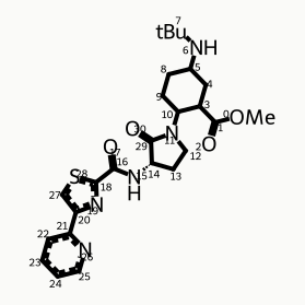 COC(=O)C1CC(NC(C)(C)C)CCC1N1CC[C@H](NC(=O)c2nc(-c3ccccn3)cs2)C1=O